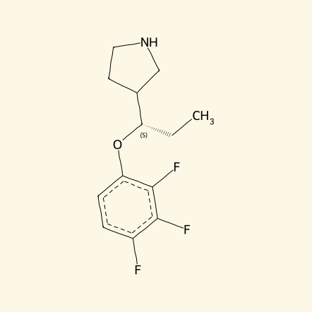 CC[C@H](Oc1ccc(F)c(F)c1F)C1CCNC1